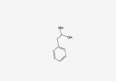 [NH]C(O)Cc1ccccc1